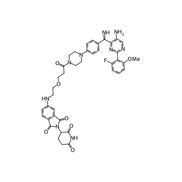 COc1cccc(F)c1-c1ncc(N)c(C(=N)c2ccc(N3CCN(C(=O)CCOCCNc4ccc5c(c4)C(=O)N(C4CCC(=O)NC4=O)C5=O)CC3)cc2)n1